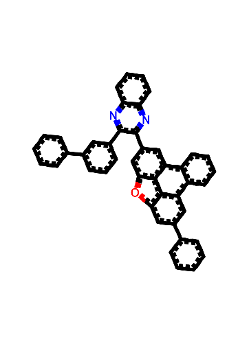 c1ccc(-c2cccc(-c3nc4ccccc4nc3-c3cc4oc5cc(-c6ccccc6)cc6c7ccccc7c(c3)c4c56)c2)cc1